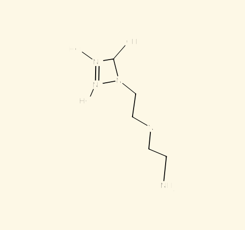 CC1N(CCNCCN)[N+](O)=[N+]1O